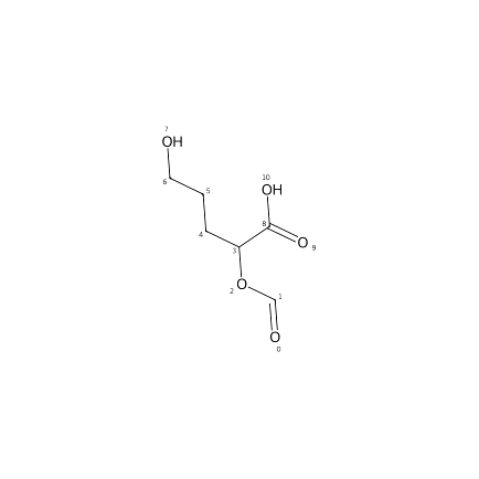 O=COC(CCCO)C(=O)O